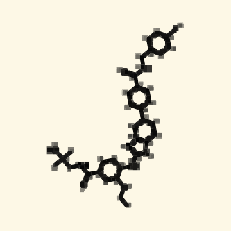 CCOc1cc(C(=O)NCC(C)(C)O)ccc1Nc1nc2ccc(-c3ccc(C(=O)NCc4ccc(F)cc4)cc3)cn2n1